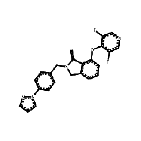 C=C1c2c(cccc2Oc2c(F)cncc2F)CN1Cc1ccc(-n2cccn2)cc1